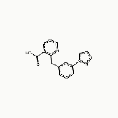 O=C(O)c1cccnc1Cc1cccc(-n2cccn2)c1